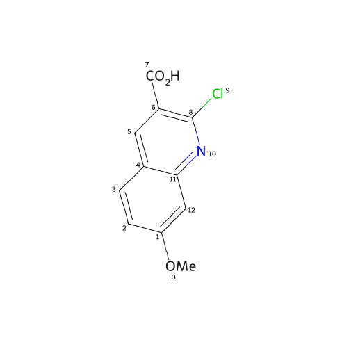 COc1ccc2cc(C(=O)O)c(Cl)nc2c1